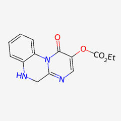 CCOC(=O)Oc1cnc2n(c1=O)-c1ccccc1NC2